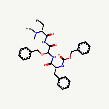 CON(C)[C@@H](CC(C)C)C(=O)NC(=O)C(NC(=O)[C@H](Cc1ccccc1)NC(=O)OCc1ccccc1)OCc1ccccc1